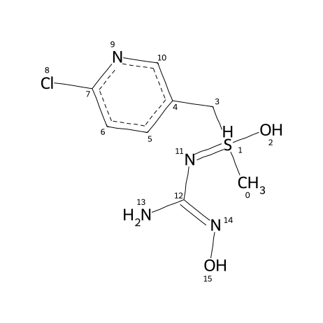 C[SH](O)(Cc1ccc(Cl)nc1)=NC(N)=NO